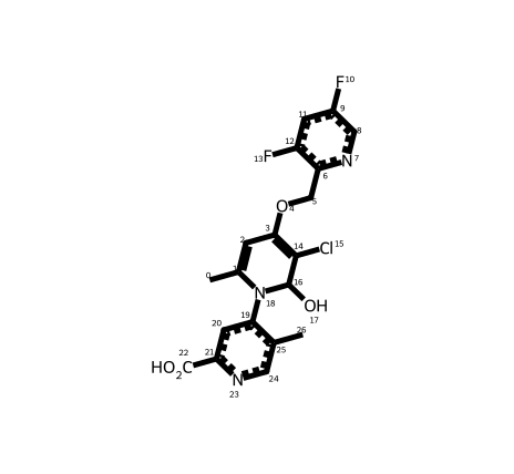 CC1=CC(OCc2ncc(F)cc2F)=C(Cl)C(O)N1c1cc(C(=O)O)ncc1C